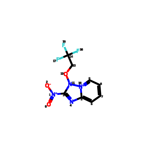 O=[N+]([O-])c1nc2cccc[n+]2n1OCC(F)(F)F